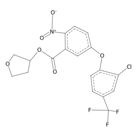 O=C(OC1CCOC1)c1cc(Oc2ccc(C(F)(F)F)cc2Cl)ccc1[N+](=O)[O-]